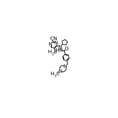 Bc1cnc(C#N)nc1N(NC(=O)c1ccc(CN2CCN(C)CC2)cc1)C1CCCC1